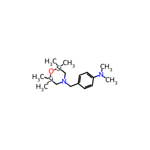 CN(C)c1ccc(CN2C[Si](C)(C)O[Si](C)(C)C2)cc1